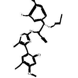 C#CC(Nc1nc(-c2cc(C)c(OC)cc2Cl)c(C)s1)[C@@H](CCCC)c1ccc(C)c(F)c1